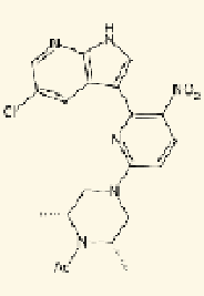 CC(=O)N1[C@H](C)CN(c2ccc([N+](=O)[O-])c(-c3c[nH]c4ncc(Cl)cc34)n2)C[C@@H]1C